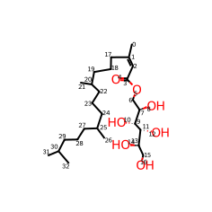 CC(=CC(=O)OC[C@@H](O)[C@@H](O)[C@H](O)[C@H](O)CO)CCCC(C)CCCC(C)CCCC(C)C